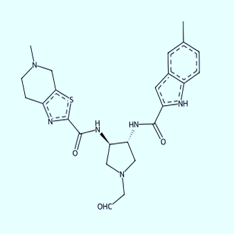 Cc1ccc2[nH]c(C(=O)N[C@@H]3CN(CC=O)C[C@H]3NC(=O)c3nc4c(s3)CN(C)CC4)cc2c1